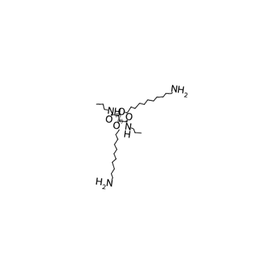 CCCNC(=O)[C@H](OCCCCCCCCCCCN)[C@@H](OCCCCCCCCCCCN)C(=O)NCCC